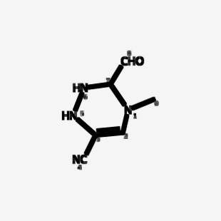 CN1C=C(C#N)NNC1C=O